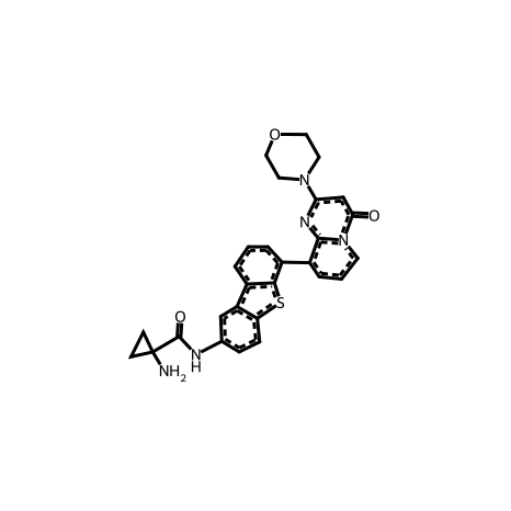 NC1(C(=O)Nc2ccc3sc4c(-c5cccn6c(=O)cc(N7CCOCC7)nc56)cccc4c3c2)CC1